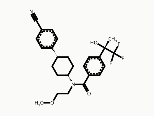 COCCN(C(=O)c1ccc([C@](C)(O)C(F)(F)F)cc1)[C@H]1CC[C@@H](c2ccc(C#N)cc2)CC1